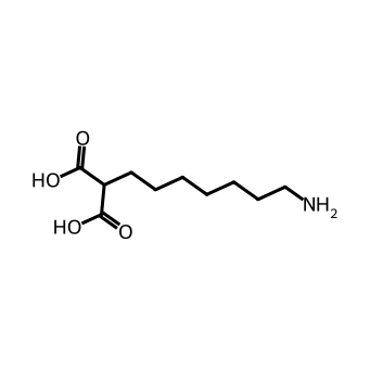 NCCCCCCCC(C(=O)O)C(=O)O